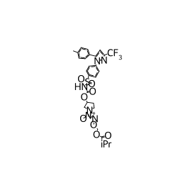 Cc1ccc(-c2cc(C(F)(F)F)nn2-c2ccc(S(=O)(=O)NC(=O)OC3CCN(/[N+]([O-])=N/OCOC(=O)C(C)C)C3)cc2)cc1